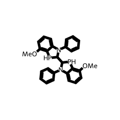 COc1cccc2c1PC(C1Pc3c(OC)cccc3N1c1ccccc1)N2c1ccccc1